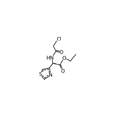 CCOC(=O)C(NC(=O)CCl)c1cscn1